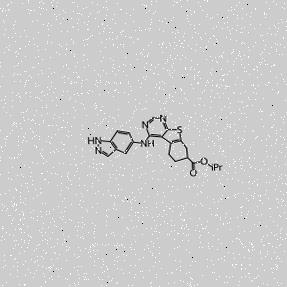 CC(C)OC(=O)C1CCc2c(sc3ncnc(Nc4ccc5[nH]ncc5c4)c23)C1